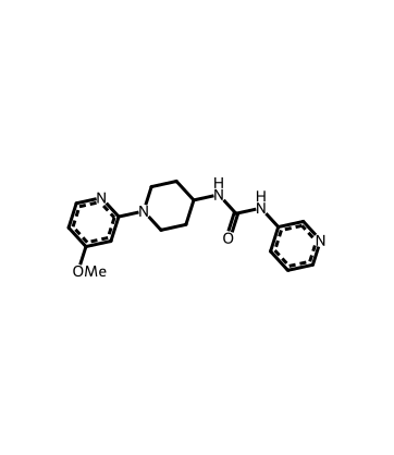 COc1ccnc(N2CCC(NC(=O)Nc3cccnc3)CC2)c1